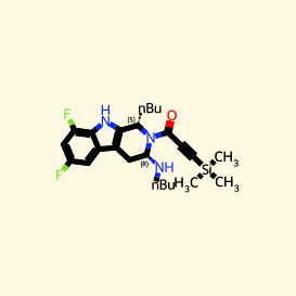 CCCCN[C@H]1Cc2c([nH]c3c(F)cc(F)cc23)[C@H](CCCC)N1C(=O)C#C[Si](C)(C)C